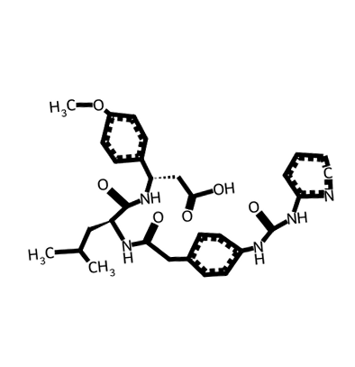 COc1ccc([C@H](CC(=O)O)NC(=O)[C@H](CC(C)C)NC(=O)Cc2ccc(NC(=O)Nc3ccccn3)cc2)cc1